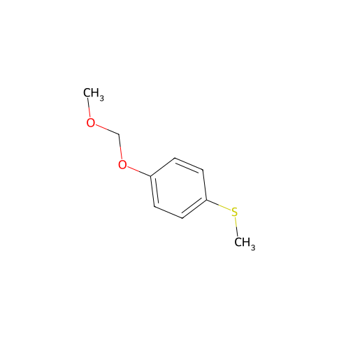 COCOc1ccc(SC)cc1